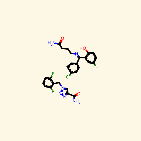 NC(=O)CCC/N=C(\c1ccc(Cl)cc1)c1cc(F)ccc1O.NC(=O)c1cn(Cc2c(F)cccc2F)nn1